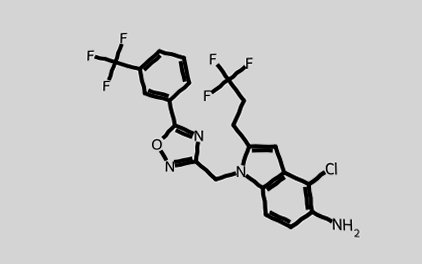 Nc1ccc2c(cc(CCC(F)(F)F)n2Cc2noc(-c3cccc(C(F)(F)F)c3)n2)c1Cl